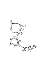 CCOC(=O)c1cccc(C23C=CC(CC2)C3)c1